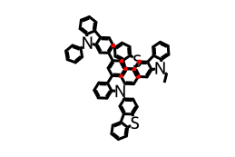 CCn1c2ccccc2c2cc(-c3cc(-c4ccc5c6ccccc6n(-c6ccccc6)c5c4)cc(-c4ccccc4N(c4ccc5sc6ccccc6c5c4)c4ccc5sc6ccccc6c5c4)c3)ccc21